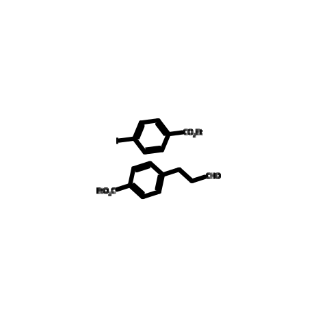 CCOC(=O)c1ccc(CCC=O)cc1.CCOC(=O)c1ccc(I)cc1